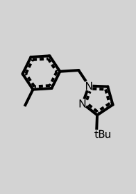 Cc1cccc(Cn2ccc(C(C)(C)C)n2)c1